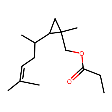 CCC(=O)OCC1(C)CC1C(C)CC=C(C)C